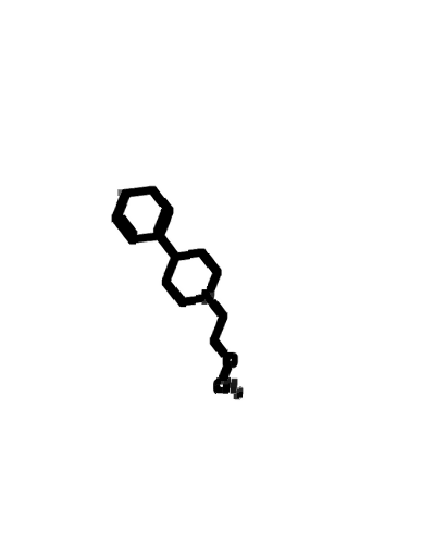 COCCN1CCC(C2=CC[CH]C=C2)CC1